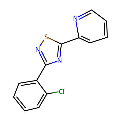 Clc1ccccc1-c1nsc(-c2ccccn2)n1